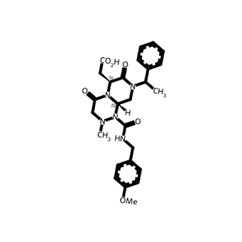 COc1ccc(CNC(=O)N2[C@H]3CN(C(C)c4ccccc4)C(=O)[C@H](CC(=O)O)N3C(=O)CN2C)cc1